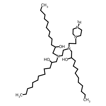 [2H]N1CCN(CCN(CCN(CC(O)CCCCCCCCCC)CC(O)CCCCCCCCCC)CC(O)CCCCCCCCCC)CC1